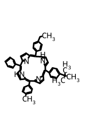 CCc1ccc(-c2c3nc(c(-c4ccccc4)c4ccc([nH]4)c(-c4ccc(C)cc4)c4nc(c(-c5ccc(C(C)(C)C)cc5)c5ccc2[nH]5)C=C4)C=C3)cc1